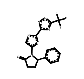 O=C1CCC(c2ccccc2)N1c1cnc(-c2noc(C(F)(F)F)n2)s1